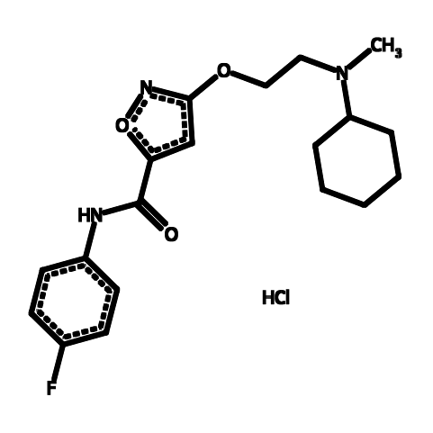 CN(CCOc1cc(C(=O)Nc2ccc(F)cc2)on1)C1CCCCC1.Cl